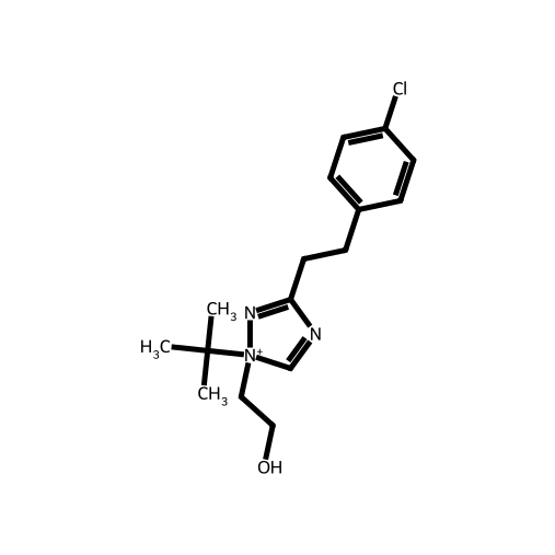 CC(C)(C)[N+]1(CCO)C=NC(CCc2ccc(Cl)cc2)=N1